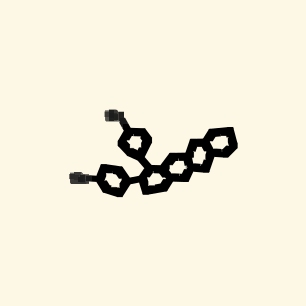 CC(C)(C)c1ccc(-c2ccc3cc4cc5ccccc5cc4cc3c2-c2ccc(C(C)(C)C)cc2)cc1